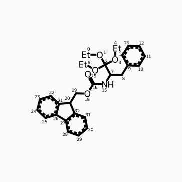 CCOC(OCC)(OCC)C(Cc1ccccc1)NC(=O)OCC1c2ccccc2-c2ccccc21